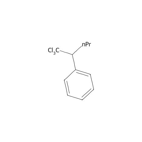 CCCC(c1ccccc1)C(Cl)(Cl)Cl